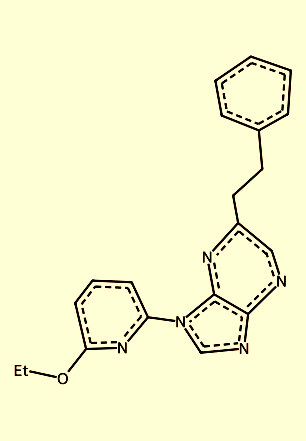 CCOc1cccc(-n2cnc3ncc(CCc4ccccc4)nc32)n1